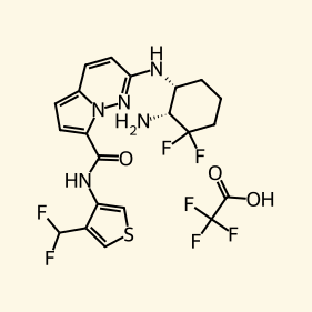 N[C@@H]1[C@H](Nc2ccc3ccc(C(=O)Nc4cscc4C(F)F)n3n2)CCCC1(F)F.O=C(O)C(F)(F)F